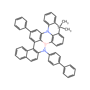 C[Si]1(C)c2ccccc2N2c3cc(-c4ccccc4)cc4c3B(c3cccc1c32)N(c1ccc(-c2ccccc2)cc1)c1ccc2ccccc2c1-4